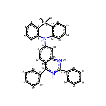 C[Si]1(C)c2ccccc2N(c2ccc3c(-c4ccccc4)nc(-c4ccccc4)nc3c2)c2ccccc21